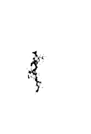 CCS(=O)(=O)c1c(-c2nc3cc(C(F)(F)F)ncc3n2C)nc2cc(S(=O)(=O)NC3CC3)ccn12